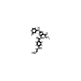 NC(=O)c1nc(Nc2ccnc(F)c2)sc1NC(=O)c1ccc(NCCO)cc1